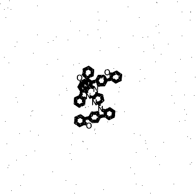 c1ccc2c(c1)oc1cc3c4ccccc4n(-c4ccc(-n5c6ccccc6c6cc7oc8ccccc8c7cc65)c(-n5c6ccccc6c6cc7oc8ccccc8c7cc65)n4)c3cc12